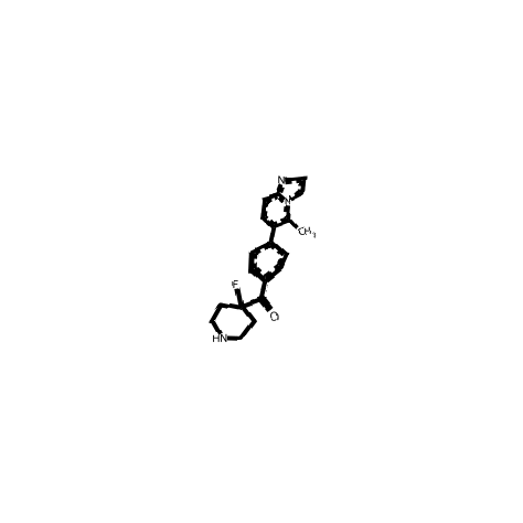 Cc1c(-c2ccc(C(=O)C3(F)CCNCC3)cc2)ccc2nccn12